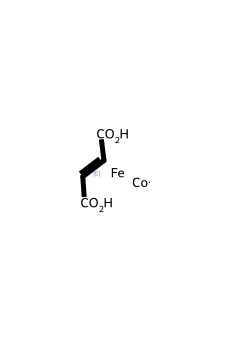 O=C(O)/C=C/C(=O)O.[Co].[Fe]